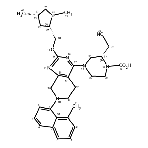 Cc1cccc2cccc(N3CCc4c(nc(OC[C@@H]5C[C@H](C)CN5C)nc4N4CCN(C(=O)O)[C@@H](CC#N)C4)C3)c12